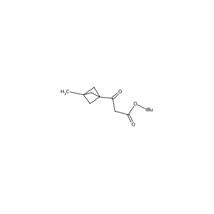 CC12CC(C(=O)CC(=O)OC(C)(C)C)(C1)C2